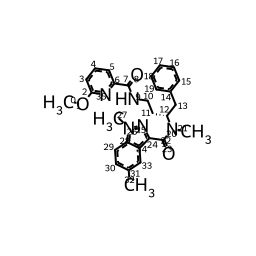 COc1cccc(C(=O)NCC[C@H](Cc2ccccc2)N(C)C(=O)c2nn(C)c3ccc(C)cc23)n1